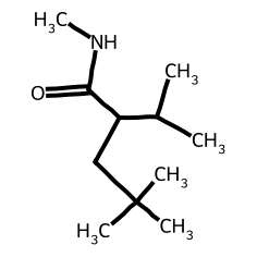 CNC(=O)C(CC(C)(C)C)C(C)C